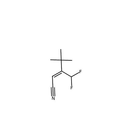 CC(C)(C)C(=CC#N)C(F)F